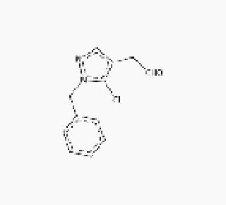 O=CCc1cnn(Cc2ccccc2)c1Cl